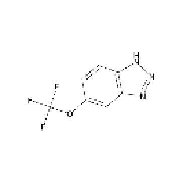 FC(F)(F)Oc1ccc2[nH]nnc2c1